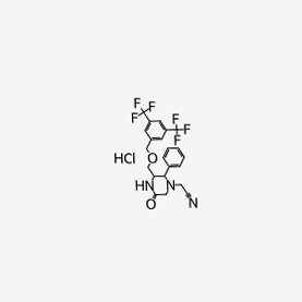 Cl.N#CCN1CC(=O)NC(COCc2cc(C(F)(F)F)cc(C(F)(F)F)c2)C1c1ccccc1